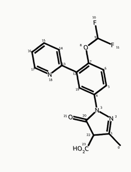 CC1=NN(c2ccc(OC(F)F)c(-c3ccccn3)c2)C(=O)C1C(=O)O